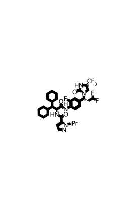 CC(C)n1nccc1C(=O)N[C@H](C(=O)Nc1ccc([C@@H](CC(F)F)N2C[C@@H](C(F)(F)F)NC2=O)cc1F)C(C1CCCCC1)C1CCCCC1